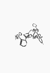 COC(C)Oc1nnc(O)c2c1nc(C1CCCCC1)n2Cc1ccc(-c2ccccc2C(=O)O)cc1